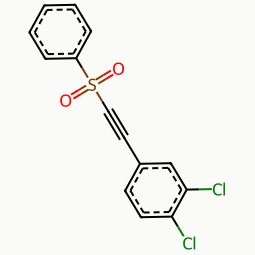 O=S(=O)(C#Cc1ccc(Cl)c(Cl)c1)c1ccccc1